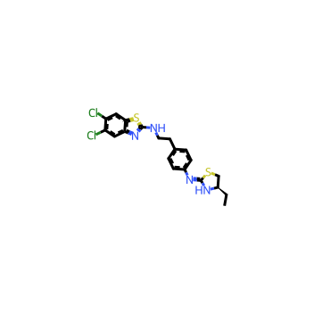 CC[C@@H]1CS/C(=N\c2ccc(CCNc3nc4cc(Cl)c(Cl)cc4s3)cc2)N1